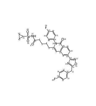 O=C(CCCCc1cc2cc(-c3noc(Cc4ccc(F)cc4)n3)ccc2c(=O)n1-c1ccc(F)cc1)NS(=O)(=O)C1CC1